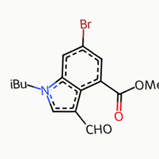 CCC(C)n1cc(C=O)c2c(C(=O)OC)cc(Br)cc21